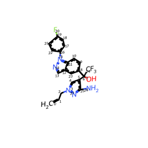 C=CCn1cc(C(O)(c2ccc3c(cnn3-c3ccc(F)cc3)c2)C(F)(F)F)c(N)n1